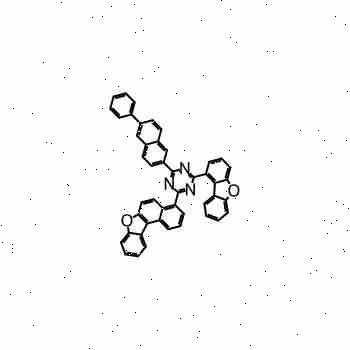 c1ccc(-c2ccc3cc(-c4nc(-c5cccc6c5ccc5oc7ccccc7c56)nc(-c5cccc6oc7ccccc7c56)n4)ccc3c2)cc1